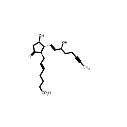 CC#CCC[C@H](O)C=C[C@H]1[C@H](O)CC(=O)[C@@H]1CC=CCCCC(=O)O